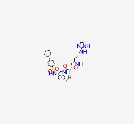 O=C(CC1CC(CCCNc2ncc[nH]2)NO1)NCC(NS(=O)(=O)c1ccc(-c2ccccc2)cc1)C(=O)O